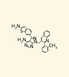 Cc1ccccc1-c1nc2ccccc2cc1Cn1nc(-c2ccc3cc(N)sc3c2)c2c(N)ncnc21